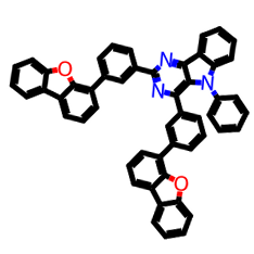 c1ccc(-n2c3ccccc3c3nc(-c4cccc(-c5cccc6c5oc5ccccc56)c4)nc(-c4cccc(-c5cccc6c5oc5ccccc56)c4)c32)cc1